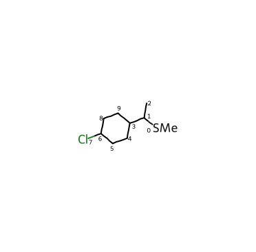 CSC(C)C1CCC(Cl)CC1